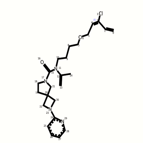 C=C/C(Cl)=C\COCCCCN(C(=C)C)C(=O)N1CCC2(C1)CN(c1ccccn1)C2